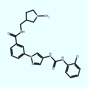 CN1CCC(CNC(=O)c2cccc(-n3cc(NC(=O)Nc4ccccc4Cl)cn3)c2)C1